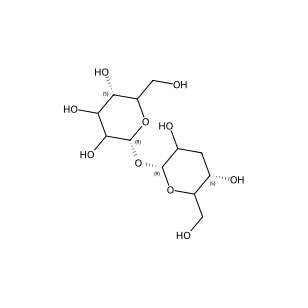 OCC1O[C@H](O[C@H]2OC(CO)[C@@H](O)CC2O)C(O)C(O)[C@@H]1O